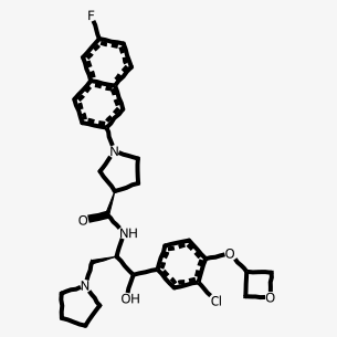 O=C(N[C@H](CN1CCCC1)C(O)c1ccc(OC2COC2)c(Cl)c1)[C@@H]1CCN(c2ccc3cc(F)ccc3c2)C1